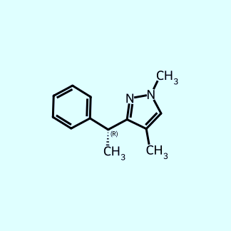 Cc1cn(C)nc1[C@H](C)c1ccccc1